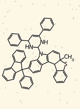 CC12C=Cc3c(c4ccc(C5(c6ccccc6)c6ccccc6-c6ccccc65)cc4n3C3NC(c4ccccc4)=CC(c4ccccc4)N3)C1c1ccccc1S2